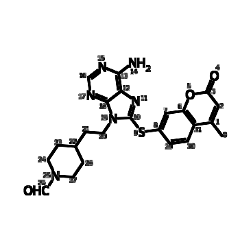 Cc1cc(=O)oc2cc(Sc3nc4c(N)ncnc4n3CCC3CCN(C=O)CC3)ccc12